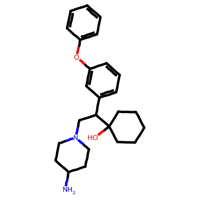 NC1CCN(CC(c2cccc(Oc3ccccc3)c2)C2(O)CCCCC2)CC1